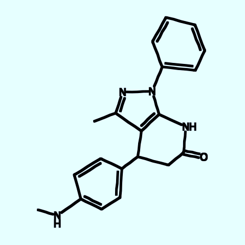 CNc1ccc(C2CC(=O)Nc3c2c(C)nn3-c2ccccc2)cc1